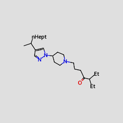 CCCCCCCC(C)c1cnn(C2CCN(CCCC(=O)C(CC)CC)CC2)c1